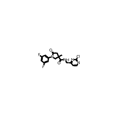 CC1(C(=O)NCc2ccnc(Cl)n2)CC(=O)N(c2cc(F)cc(F)c2)C1